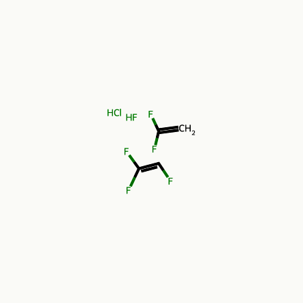 C=C(F)F.Cl.F.FC=C(F)F